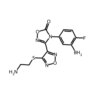 Bc1cc(-n2c(-c3nonc3SCCN)noc2=O)ccc1F